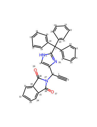 C#CC(c1c[nH]c(C(c2ccccc2)(c2ccccc2)c2ccccc2)n1)N1C(=O)c2ccccc2C1=O